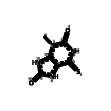 Cn1c(=O)[nH]c(=S)c2[nH]c(=O)[nH]c21